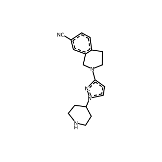 N#Cc1ccc2c(c1)CN(c1ccn(C3CCNCC3)n1)CC2